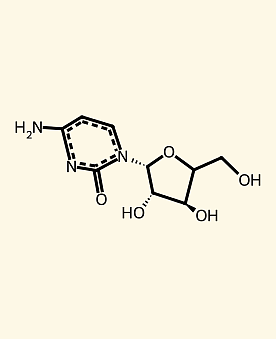 Nc1ccn([C@@H]2OC(CO)[C@@H](O)[C@@H]2O)c(=O)n1